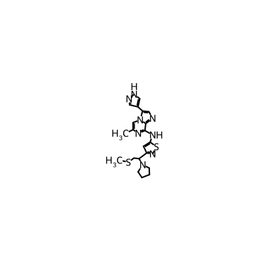 CSCC(c1cc(Nc2nc(C)cn3c(-c4cn[nH]c4)cnc23)sn1)N1CCCC1